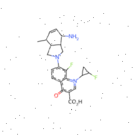 CC1C=CC(N)C2CN(c3ccc4c(=O)c(C(=O)O)cn(C5CC5F)c4c3F)CC12